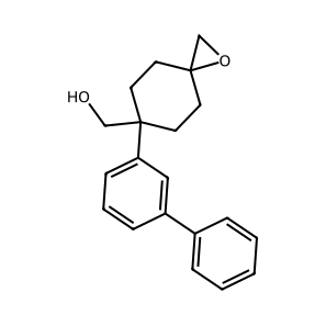 OCC1(c2cccc(-c3ccccc3)c2)CCC2(CC1)CO2